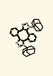 c1ccc2/c(c1)=c1/nnn(C34CC5CC(CC(C5)C3)C4)/c1=c1\cccc\c1=c1\c=2nnn1C12CC3CC(CC(C3)C1)C2